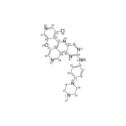 CN1CCN(c2ccc(Nc3ncc4nc(-c5c(Cl)cncc5Cl)c5ccncc5c4n3)cc2)CC1